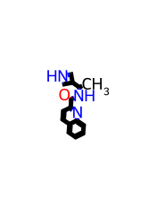 CC(NC(=O)c1ccc2ccccc2n1)C1CNC1